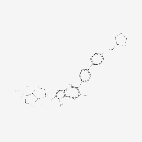 O[C@@H]1CO[C@H]2[C@@H]1OC[C@H]2Oc1cc2nc(-c3ccc(-c4ccc(OCC5CCCO5)cc4)cc3)c(F)cc2[nH]1